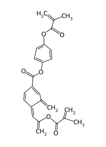 C=C(/C=c1/ccc(C(=O)Oc2ccc(OC(=O)C(=C)C)cc2)cc1=C)OC(=O)C(=C)C